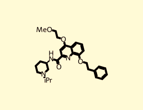 COCCOc1cc(C(=O)N[C@@H]2CCCN(C(C)C)C2)nc2c(OCCc3ccccc3)cccc12